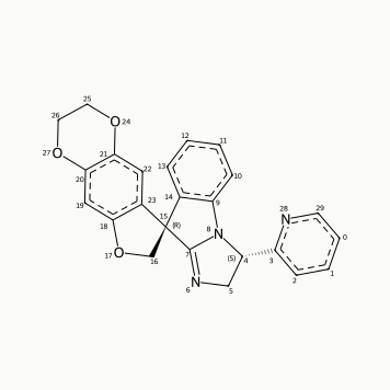 c1ccc([C@@H]2CN=C3N2c2ccccc2[C@]32COc3cc4c(cc32)OCCO4)nc1